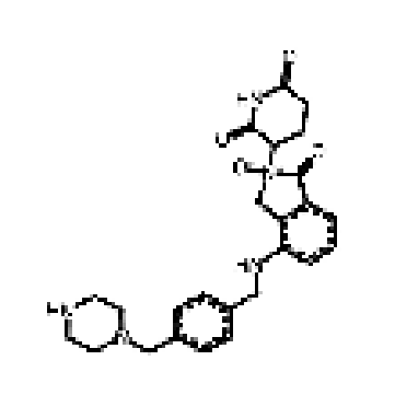 O=C1CCC([N+]2([O-])Cc3c(NCc4ccc(CN5CCNCC5)cc4)cccc3C2=O)C(=O)N1